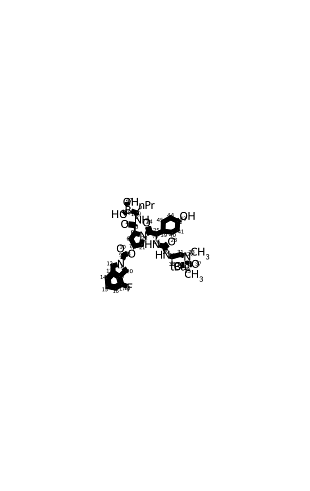 CCC[C@H](NC(=O)[C@@H]1C[C@@H](OC(=O)N2Cc3cccc(F)c3C2)CN1C(=O)[C@@H](NC(=O)N[C@H](CN(C)S(C)(=O)=O)C(C)(C)C)C1CCC(O)CC1)B(O)O